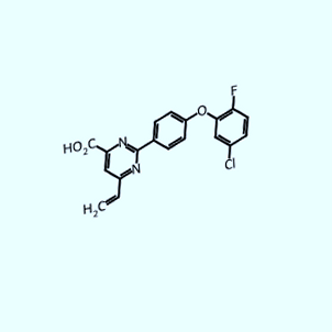 C=Cc1cc(C(=O)O)nc(-c2ccc(Oc3cc(Cl)ccc3F)cc2)n1